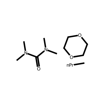 C1COCCO1.CCCC.CN(C)C(=O)N(C)C